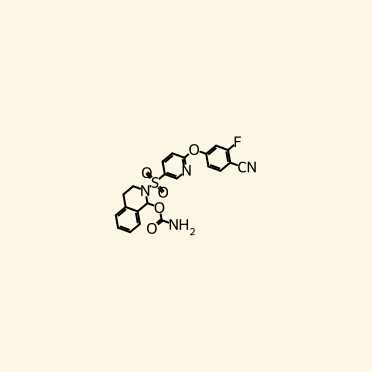 N#Cc1ccc(Oc2ccc(S(=O)(=O)N3CCc4ccccc4C3OC(N)=O)cn2)cc1F